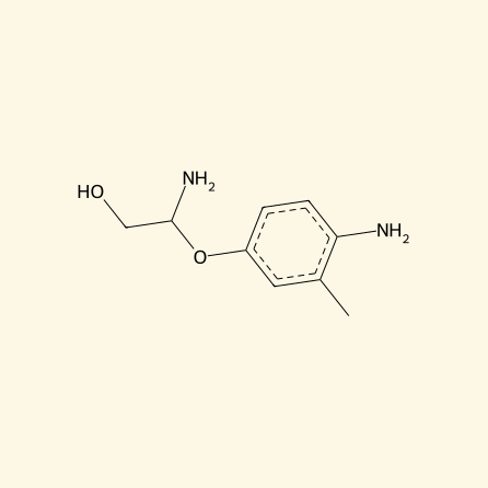 Cc1cc(OC(N)CO)ccc1N